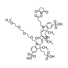 COCCOCCOCCOCCN1c2ccc(S(=O)(=O)O)cc2C(C)(CCCS(=O)(=O)O)C1/C=C1\C(=O)C(/C=C2/N(CCCC(=O)ON3C(=O)CCC3=O)c3ccc(S(=O)(=O)O)cc3C2(C)CCOC)=C1O